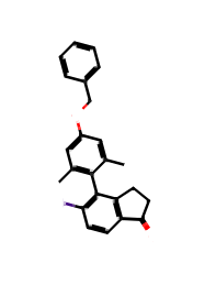 Cc1cc(OCc2ccccc2)cc(C)c1-c1c(I)ccc2c1CCC2=O